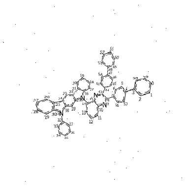 c1ccc(-c2ccc(-c3nc4cccc(-n5c6ccccc6c6cc7c8ccccc8n(-c8ccccc8)c7cc65)c4nc3-c3ccc(-c4ccccc4)cc3)cc2)cc1